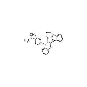 CC(C)c1ccc(-c2c3ccccc3cc3c2c2cccc4c5ccccc5n3c42)cc1